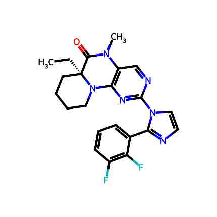 CC[C@@]12CCCCN1c1nc(-n3ccnc3-c3cccc(F)c3F)ncc1N(C)C2=O